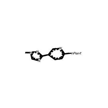 CCCCCc1ccc(-c2ncn(C)n2)cn1